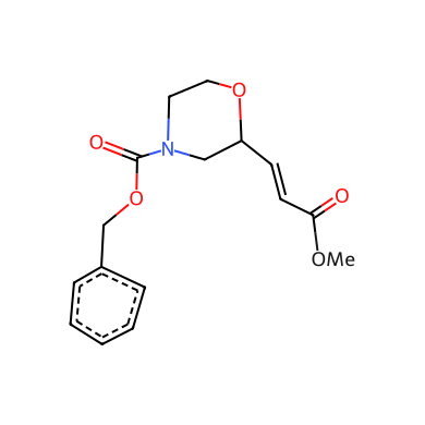 COC(=O)C=CC1CN(C(=O)OCc2ccccc2)CCO1